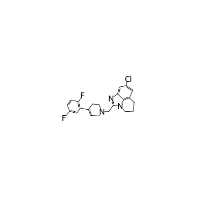 Fc1ccc(F)c(C2=CCN(Cc3nc4cc(Cl)cc5c4n3CCC5)CC2)c1